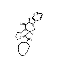 CC1(C(=O)NC2CCCCCCC2)Cn2c(cc3occc32)C(=O)N1C1CCCC1